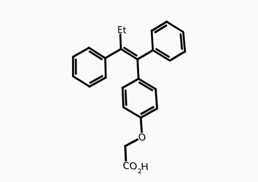 CC/C(=C(\c1ccccc1)c1ccc(OCC(=O)O)cc1)c1ccccc1